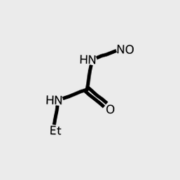 CCNC(=O)NN=O